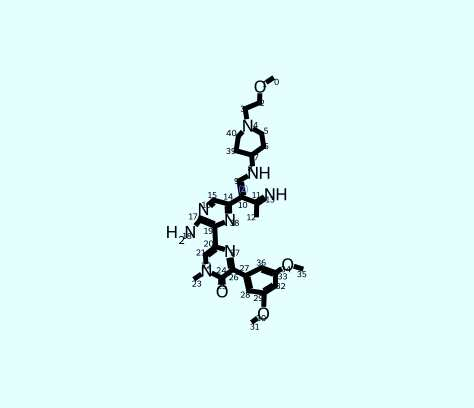 COCCN1CCC(N/C=C(\C(C)=N)c2cnc(N)c(-c3cn(C)c(=O)c(-c4cc(OC)cc(OC)c4)n3)n2)CC1